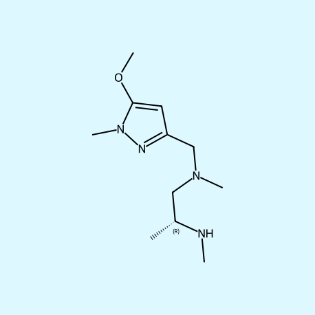 CN[C@H](C)CN(C)Cc1cc(OC)n(C)n1